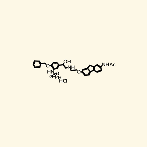 CC(=O)Nc1ccc2c(c1)Cc1cc(OCCNCC(O)c3ccc(OCc4ccccc4)c(NS(C)(=O)=O)c3)ccc1-2.Cl